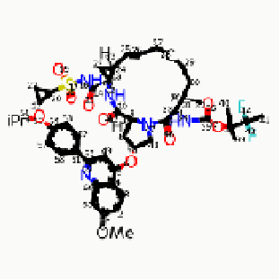 COc1ccc2c(O[C@@H]3C[C@H]4C(=O)N[C@]5(C(=O)NS(=O)(=O)C6CC6)C[C@H]5C=CCCCC[C@@H](C)[C@H](NC(=O)OC(C)(C)C(C)(F)F)C(=O)N4C3)cc(-c3ccc(OC(C)C)cc3)nc2c1